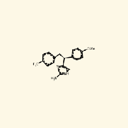 COc1ccc([C@H](Cc2ccc(C(F)(F)F)cc2)c2[c][nH]c(N)n2)cc1